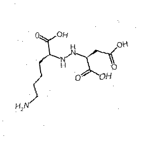 NCCCC[C@H](NN[C@@H](CC(=O)O)C(=O)O)C(=O)O